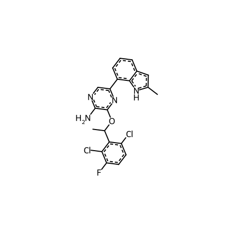 Cc1cc2cccc(-c3cnc(N)c(OC(C)c4c(Cl)ccc(F)c4Cl)n3)c2[nH]1